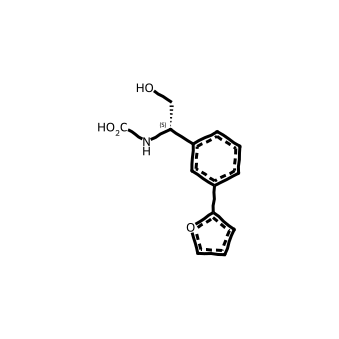 O=C(O)N[C@H](CO)c1cccc(-c2ccco2)c1